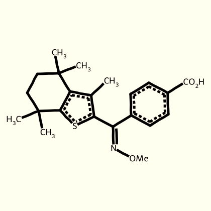 CO/N=C(\c1ccc(C(=O)O)cc1)c1sc2c(c1C)C(C)(C)CCC2(C)C